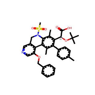 Cc1ccc(-c2c(C)c3c(c(C)c2[C@H](OC(C)(C)C)C(=O)O)N(S(C)(=O)=O)Cc2cncc(OCc4ccccc4)c2-3)cc1